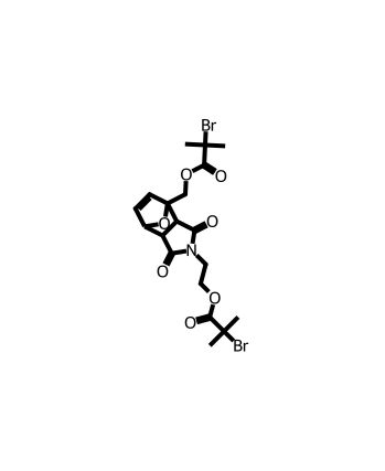 CC(C)(Br)C(=O)OCCN1C(=O)C2C3C=CC(COC(=O)C(C)(C)Br)(O3)C2C1=O